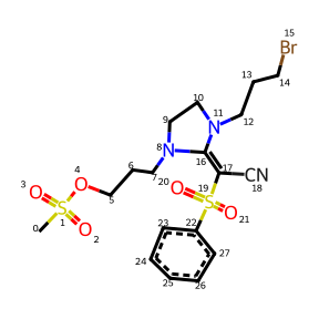 CS(=O)(=O)OCCCN1CCN(CCCBr)/C1=C(\C#N)S(=O)(=O)c1ccccc1